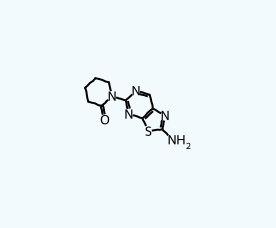 Nc1nc2cnc(N3CCCCC3=O)nc2s1